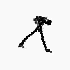 CCCCCCCCCCCCCCCCOC[C@H](COP(OCc1ccccc1)N(C(C)C)C(C)C)OC(=O)CCCCCCCCCCCCCCC